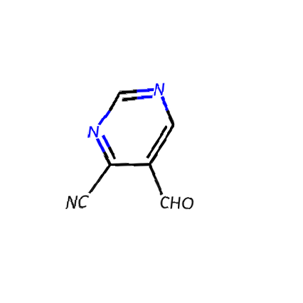 N#Cc1ncncc1C=O